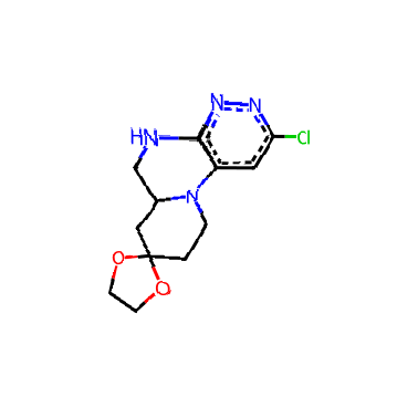 Clc1cc2c(nn1)NCC1CC3(CCN21)OCCO3